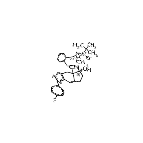 C[C@@H](N[S@+]([O-])C(C)(C)C)c1ccccc1CC[C@]1(O)CCC2=Cc3c(cnn3-c3ccc(F)cc3)CC21C